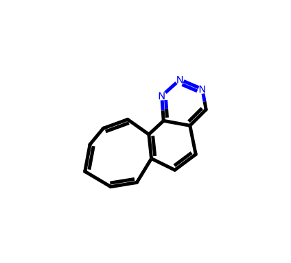 C1=CC=Cc2c(ccc3cnnnc23)C=C1